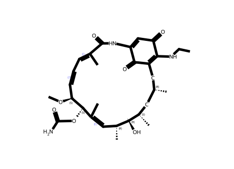 CCNC1=C2C[C@H](C)C[C@H](C)[C@@H](O)[C@H](C)/C=C(\C)[C@H](OC(N)=O)[C@@H](OC)/C=C\C=C(/C)C(=O)NC(=CC1=O)C2=O